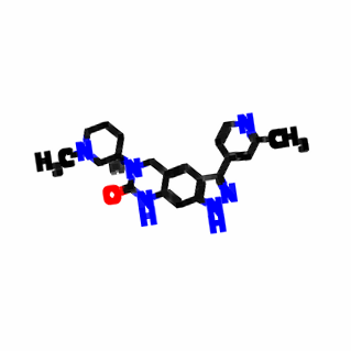 Cc1cc(-c2n[nH]c3cc4c(cc23)CN([C@@H]2CCCN(C)C2)C(=O)N4)ccn1